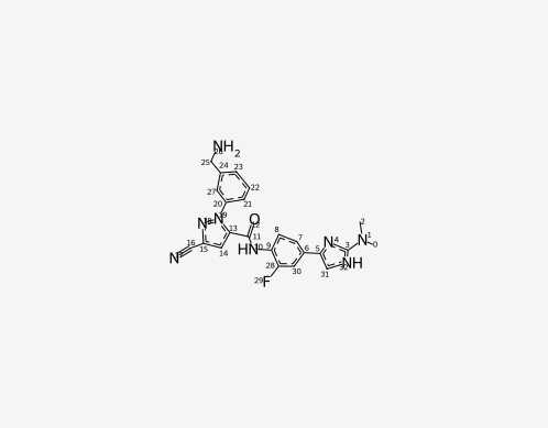 CN(C)c1nc(-c2ccc(NC(=O)c3cc(C#N)nn3-c3cccc(CN)c3)c(F)c2)c[nH]1